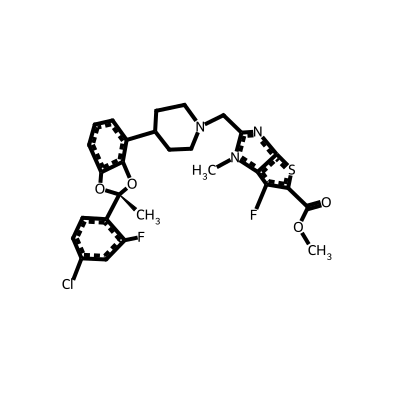 COC(=O)c1sc2nc(CN3CCC(c4cccc5c4O[C@](C)(c4ccc(Cl)cc4F)O5)CC3)n(C)c2c1F